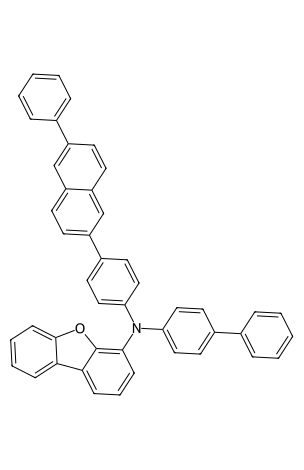 c1ccc(-c2ccc(N(c3ccc(-c4ccc5cc(-c6ccccc6)ccc5c4)cc3)c3cccc4c3oc3ccccc34)cc2)cc1